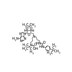 CC1(C)O[C@@H]2[C@H](O1)[C@@H](CN(CCCNC(=O)Nc1ccc(C(C)(C)C)cc1)CCCN(C(=O)O)C(C)(C)C)O[C@H]2n1cnc2c(N)ncnc21